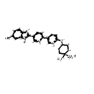 C[C@]1(C(=O)O)CC[C@@H](Oc2ccc(-c3ccc(-c4nc5ccc(Cl)cc5[nH]4)cn3)cn2)CC1